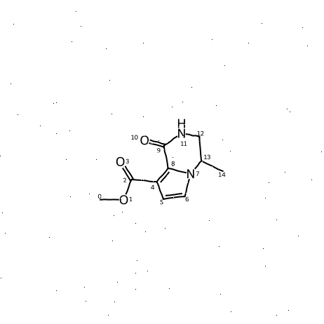 COC(=O)c1ccn2c1C(=O)NCC2C